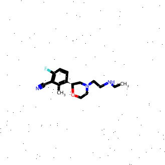 CCNCCN1CCO[C@H](c2ccc(F)c(C#N)c2C)C1